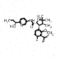 CC[C@H](O)c1ccc(NC(=O)[C@@H]2OC(C)(C)[C@@H](C)[C@H]2c2ccc(F)c(C(F)F)c2OC)cn1